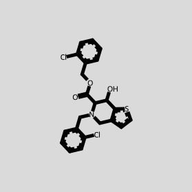 O=C(OCc1ccccc1Cl)C1C(O)c2sccc2CN1Cc1ccccc1Cl